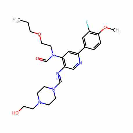 CCCOCCN(C=O)c1cc(-c2ccc(OC)c(F)c2)ncc1/N=C/N1CCN(CCO)CC1